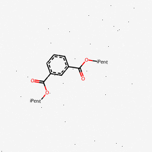 CCCC(C)OC(=O)c1cccc(C(=O)OC(C)CCC)c1